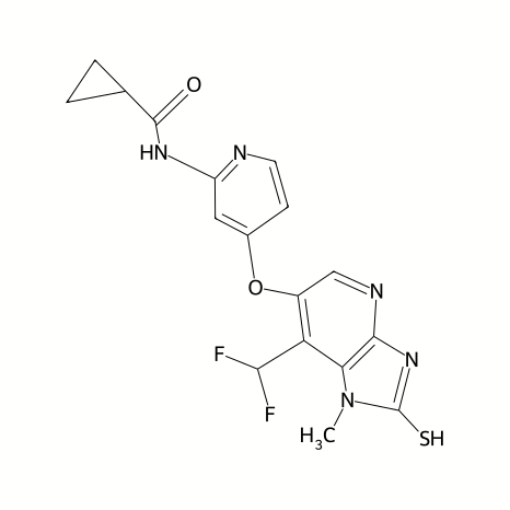 Cn1c(S)nc2ncc(Oc3ccnc(NC(=O)C4CC4)c3)c(C(F)F)c21